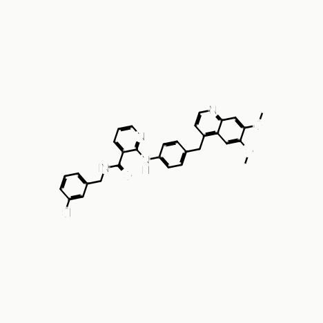 COc1cc2nccc(Cc3ccc(Nc4ncccc4C(=O)NCc4cccc(Cl)c4)cc3)c2cc1OC